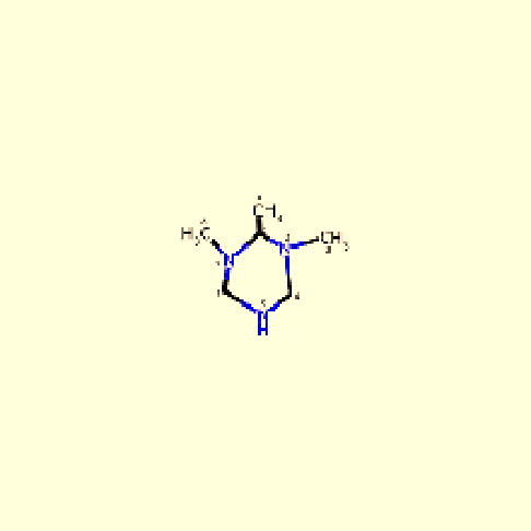 CC1N(C)CNCN1C